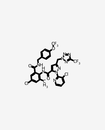 Cc1cc(Cl)cc(C(=O)NCc2ccc(OC(F)(F)F)cc2)c1NC(=O)c1cc(Cn2nnc(C(F)(F)F)n2)nn1-c1ncccc1Cl